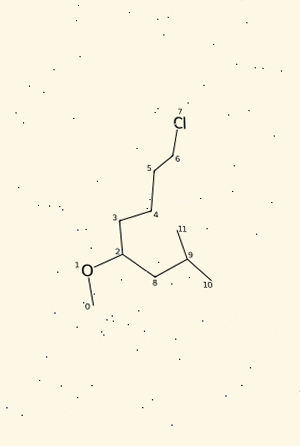 COC(CCCCCl)CC(C)C